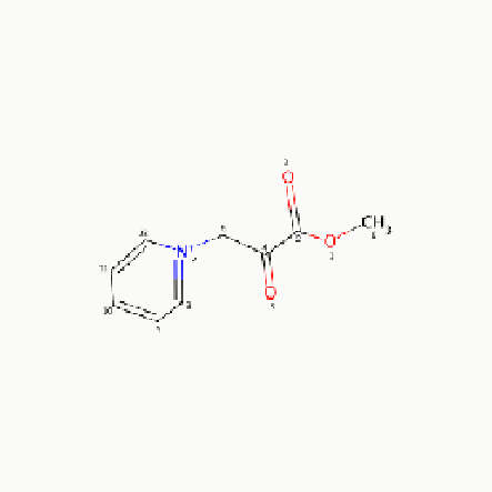 COC(=O)C(=O)C[n+]1ccccc1